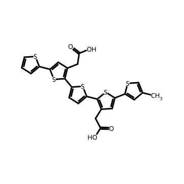 Cc1csc(-c2cc(CC(=O)O)c(-c3ccc(-c4sc(-c5cccs5)cc4CC(=O)O)s3)s2)c1